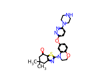 CC1(C)CC(=O)c2sc(N3CCOc4ccc(Oc5ccc(N6CCNCC6)nn5)cc43)nc2C1